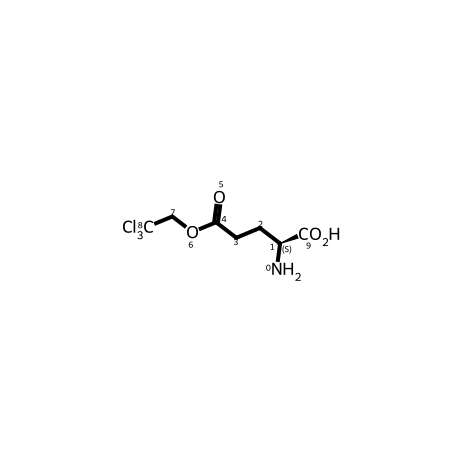 N[C@@H](CCC(=O)OCC(Cl)(Cl)Cl)C(=O)O